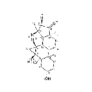 CC12CC[C@H](O)C[C@@]1(O)[C@@H]1C[C@@H]1C1C2CC[C@]2(C)C(=O)[C@H]3C[C@H]3C12